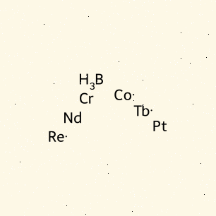 B.[Co].[Cr].[Nd].[Pt].[Re].[Tb]